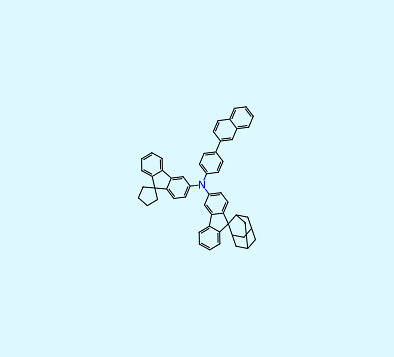 c1ccc2c(c1)-c1cc(N(c3ccc(-c4ccc5ccccc5c4)cc3)c3ccc4c(c3)-c3ccccc3C43C4CC5CC(C4)CC3C5)ccc1C21CCCC1